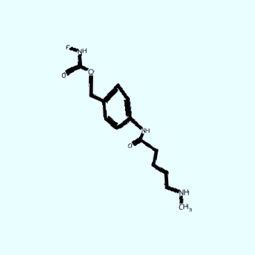 CNCCCCC(=O)Nc1ccc(COC(=O)NF)cc1